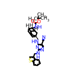 CC(C)(C)OC(=O)N[C@@H]1[C@@H]2CC3C[C@H]1C[C@@](CNc1nc(NCc4csc5ccccc45)ncc1C#N)(C3)C2